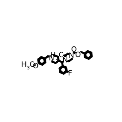 COc1ccc(CN2CCC(C(c3cccc(F)c3)N3CCN(C(=O)OCc4ccccc4)C[C@@H]3C)CC2)cc1